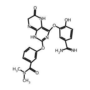 CN(C)C(=O)c1cccc(OC2=NC(Oc3cc(C(=N)N)ccc3O)=C3NC(=O)CN=C3N2)c1